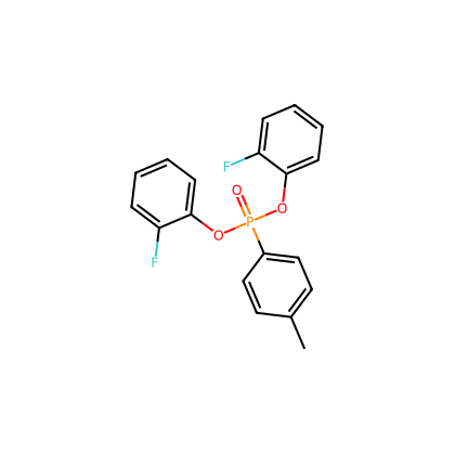 Cc1ccc(P(=O)(Oc2ccccc2F)Oc2ccccc2F)cc1